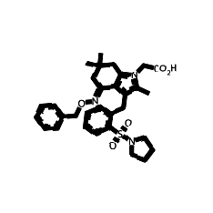 Cc1c(Cc2ccccc2S(=O)(=O)N2CCCC2)c2c(n1CC(=O)O)CC(C)(C)CC2=NOCc1ccccc1